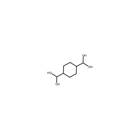 OC(O)C1CCC(C(O)O)CC1